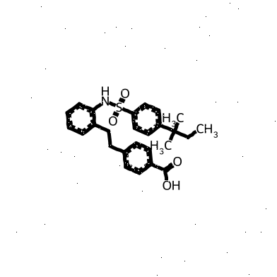 CCC(C)(C)c1ccc(S(=O)(=O)Nc2ccccc2CCc2ccc(C(=O)O)cc2)cc1